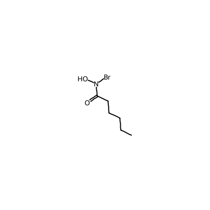 CCCCCC(=O)N(O)Br